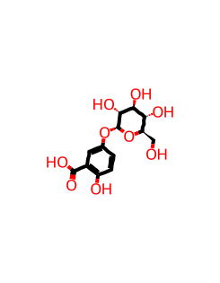 O=C(O)c1cc(O[C@@H]2O[C@H](CO)[C@@H](O)[C@H](O)[C@H]2O)ccc1O